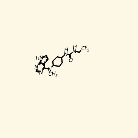 CN(c1ncnc2[nH]ccc12)C1CCC(NC(=O)NCC(F)(F)F)CC1